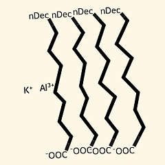 CCCCCCCCCCCCCCCCCC(=O)[O-].CCCCCCCCCCCCCCCCCC(=O)[O-].CCCCCCCCCCCCCCCCCC(=O)[O-].CCCCCCCCCCCCCCCCCC(=O)[O-].[Al+3].[K+]